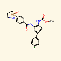 CC(C)(C)OC(=O)Nc1ccc(-c2ccc(F)cc2)cc1NC(=O)c1ccc([SH]2(=O)CCCN2)cc1